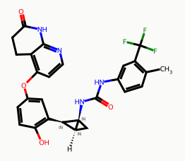 Cc1ccc(NC(=O)N[C@@]23C[C@H]2[C@H]3c2cc(Oc3ccnc4c3CCC(=O)N4)ccc2O)cc1C(F)(F)F